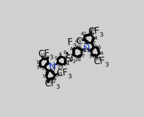 C[Si](C)(c1ccc(-n2c3cc(C(F)(F)F)ccc3c3cc(C(F)(F)F)cc(C(F)(F)F)c32)cc1)c1ccc(-n2c3cc(C(F)(F)F)ccc3c3cc(C(F)(F)F)cc(C(F)(F)F)c32)cc1